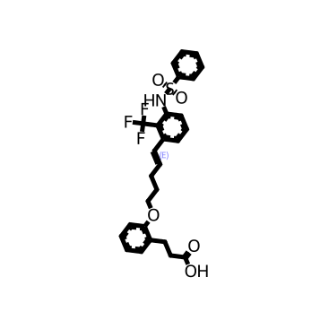 O=C(O)CCc1ccccc1OCCC/C=C/c1cccc(NS(=O)(=O)c2ccccc2)c1C(F)(F)F